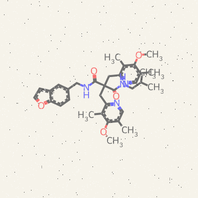 COc1c(C)cnc(CC(Cc2ncc(C)c(OC)c2C)(C(=O)NCc2ccc3occc3c2)C(=O)NCC(C)C)c1C